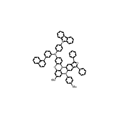 CC(C)(C)c1ccc(N2c3cc4c(-c5ccccc5)oc(-c5ccccc5)c4cc3B3c4ccc(N(c5ccc(-n6c7ccccc7c7ccccc76)cc5)c5cccc(-c6cccc7ccccc67)c5)cc4Oc4cc(C(C)(C)C)cc2c43)cc1